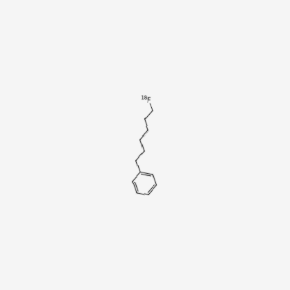 [18F]CCCCCCc1ccccc1